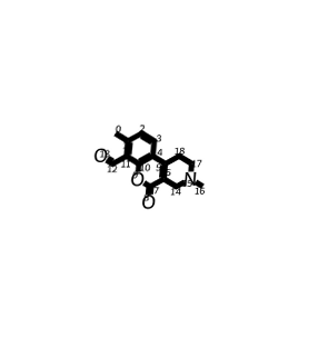 Cc1ccc2c3c(c(=O)oc2c1C=O)CN(C)CC3